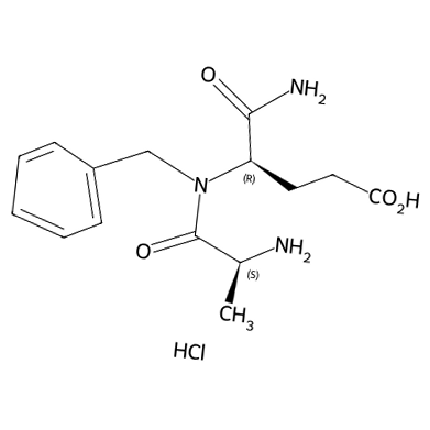 C[C@H](N)C(=O)N(Cc1ccccc1)[C@H](CCC(=O)O)C(N)=O.Cl